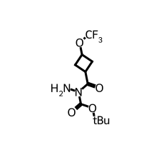 CC(C)(C)OC(=O)N(N)C(=O)C1CC(OC(F)(F)F)C1